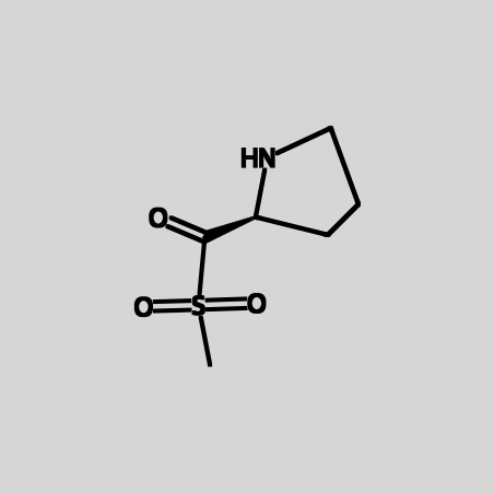 CS(=O)(=O)C(=O)[C@@H]1CCCN1